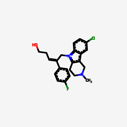 CN1CCc2c(c3cc(Cl)ccc3n2C/C(=C\CCO)c2ccc(F)cc2)C1